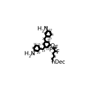 CCCCCCCCCCCCCC(F)C(F)(F)Oc1cc(Cc2cccc(N)c2)cc(Cc2cccc(N)c2)c1